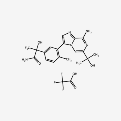 Cc1ccc(C(O)(C(N)=O)C(F)(F)F)cc1-c1cnc2c(N)nc(C(C)(C)O)cn12.O=C(O)C(F)(F)F